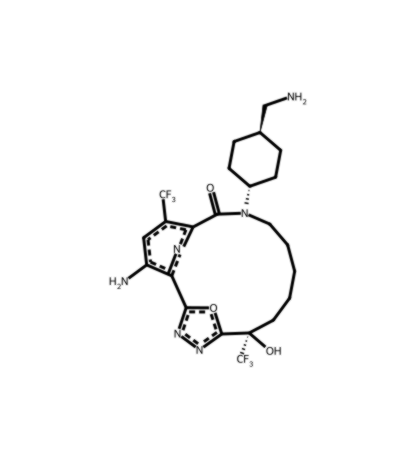 NC[C@H]1CC[C@H](N2CCCCC[C@](O)(C(F)(F)F)c3nnc(o3)-c3nc(c(C(F)(F)F)cc3N)C2=O)CC1